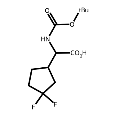 CC(C)(C)OC(=O)NC(C(=O)O)C1CCC(F)(F)C1